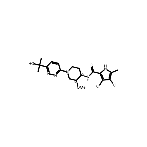 CO[C@H]1CN(c2ccc(C(C)(C)O)nn2)CC[C@H]1NC(=O)c1[nH]c(C)c(Cl)c1Cl